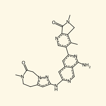 Cc1c(-c2cc3cc(Nc4cc5n(n4)CC(=O)N(C)CC5)ncc3c(N)n2)cnc2c1CN(C)C2=O